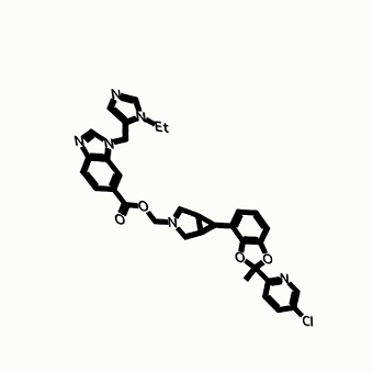 CCn1cncc1Cn1cnc2ccc(C(=O)OCN3CC4C(C3)C4c3cccc4c3OC(C)(c3ccc(Cl)cn3)O4)cc21